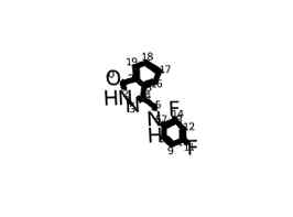 O=c1[nH]nc(CNc2ccc(F)cc2F)c2ccccc12